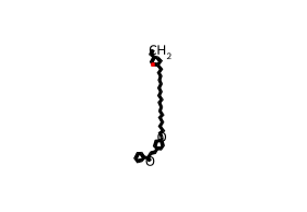 C=Cc1ccc(CCCCCCCCCCCCCCCCCCOc2ccc(C=CC(=O)c3ccccc3)cc2)cc1